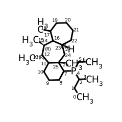 CCC(C)P(CC)C1CCCC2[C@H](C)[C@@H](C)C3C(C)CCCC[C@@H]3CC21C